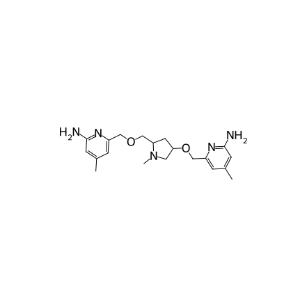 Cc1cc(N)nc(COCC2CC(OCc3cc(C)cc(N)n3)CN2C)c1